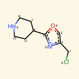 ClCc1coc(C2CCNCC2)n1